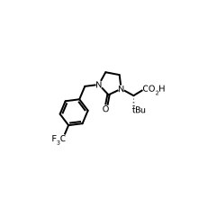 CC(C)(C)[C@@H](C(=O)O)N1CCN(Cc2ccc(C(F)(F)F)cc2)C1=O